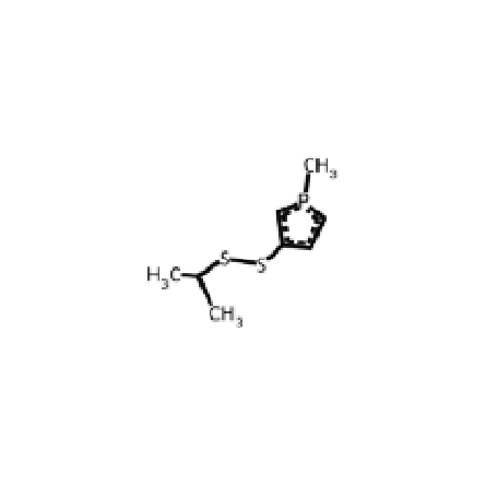 CC(C)SSc1ccp(C)c1